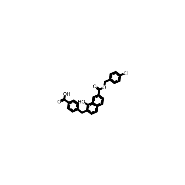 O=C(O)c1ccc(Cc2ccc3ccc(C(=O)OCc4ccc(Cl)cc4)cc3c2O)cc1